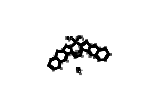 C[Si]1(C)C2=Cc3cc4ccccc4cc3[C]23CC[C]2([Zr+2]3)C1=Cc1cc3ccccc3cc12.[Cl-].[Cl-]